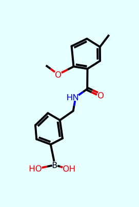 COc1ccc(C)cc1C(=O)NCc1cccc(B(O)O)c1